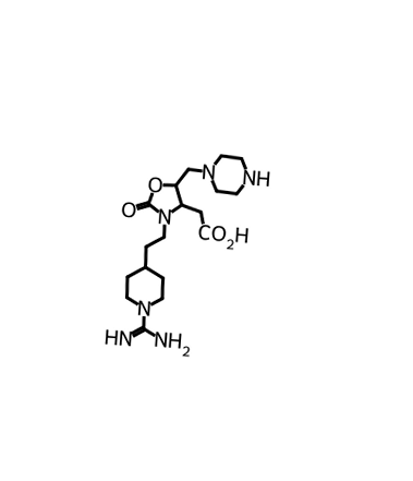 N=C(N)N1CCC(CCN2C(=O)OC(CN3CCNCC3)C2CC(=O)O)CC1